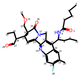 CCCCC(=O)NC(CCC)c1c2c(nc3cc(F)c(C)cc13)-c1cc(C(C=O)CC)c(COC)c(=O)n1C2